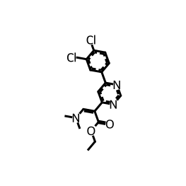 CCOC(=O)C(=CN(C)C)c1cc(-c2ccc(Cl)c(Cl)c2)ncn1